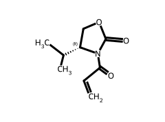 C=CC(=O)N1C(=O)OC[C@H]1C(C)C